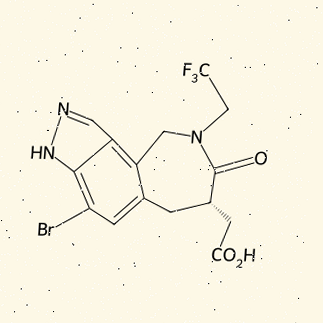 O=C(O)C[C@@H]1Cc2cc(Br)c3[nH]ncc3c2CN(CC(F)(F)F)C1=O